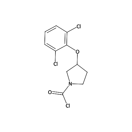 O=C(Cl)N1CCC(Oc2c(Cl)cccc2Cl)C1